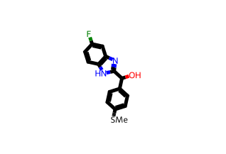 CSc1ccc(C(O)c2nc3cc(F)ccc3[nH]2)cc1